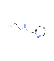 SCCNSc1ccccn1